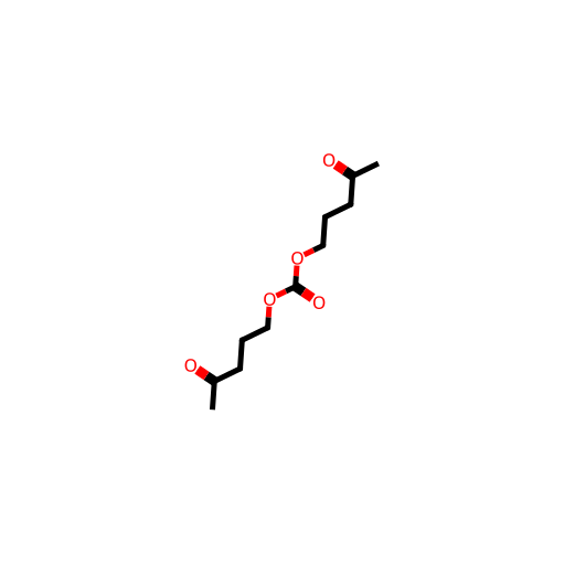 CC(=O)CCCOC(=O)OCCCC(C)=O